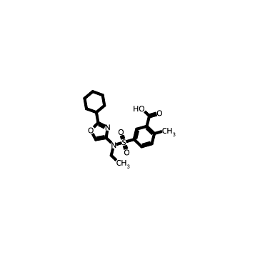 CCN(c1coc(C2CCCCC2)n1)S(=O)(=O)c1ccc(C)c(C(=O)O)c1